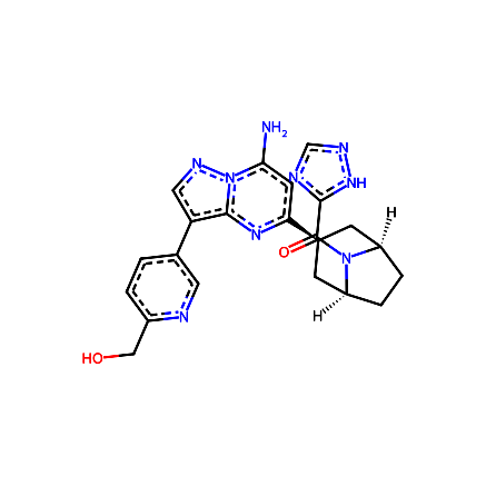 Nc1cc([C@H]2C[C@H]3CC[C@@H](C2)N3C(=O)c2ncn[nH]2)nc2c(-c3ccc(CO)nc3)cnn12